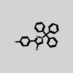 Fc1ccc(-c2nn(C(c3ccccc3)(c3ccccc3)c3ccccc3)cc2Br)cc1